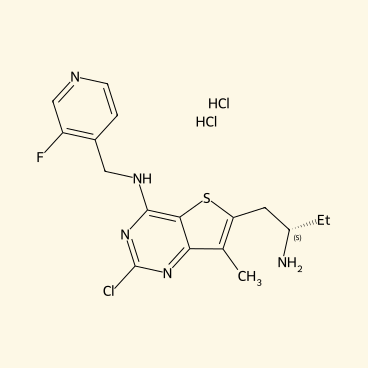 CC[C@H](N)Cc1sc2c(NCc3ccncc3F)nc(Cl)nc2c1C.Cl.Cl